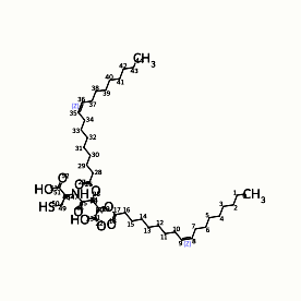 CCCCCCCC/C=C\CCCCCCCC(=O)O[C@@H](C(=O)O)[C@@H](OC(=O)CCCCCCC/C=C\CCCCCCCC)C(=O)N[C@@H](CS)C(=O)O